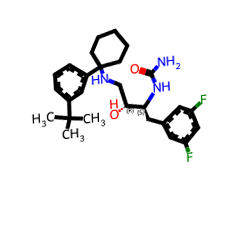 CC(C)(C)c1cccc(C2(NC[C@@H](O)[C@H](Cc3cc(F)cc(F)c3)NC(N)=O)CCCCC2)c1